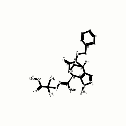 CN/C(=N\OC(C)(C)C(=O)OC(C)(C)C)[C@@H]1c2c(cnn2C)[C@@H]2CN1C(=O)N2OCc1ccccc1